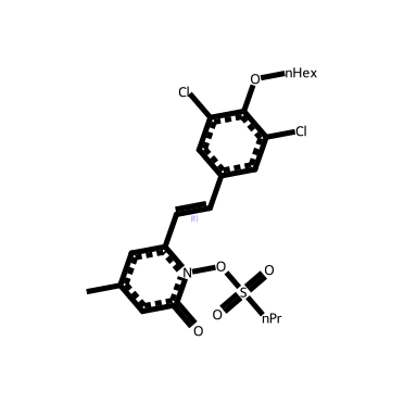 CCCCCCOc1c(Cl)cc(/C=C/c2cc(C)cc(=O)n2OS(=O)(=O)CCC)cc1Cl